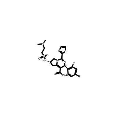 COC(=O)C1=C2C[C@H](NS(=O)(=O)CCN(C)C)CN2C(c2nccs2)=N[C@H]1c1ccc(F)cc1Cl